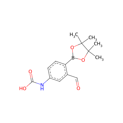 CC1(C)OB(c2ccc(NC(=O)O)cc2C=O)OC1(C)C